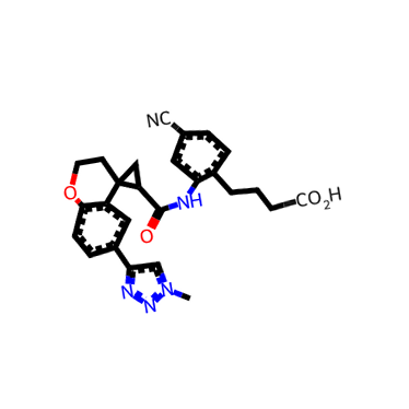 Cn1cc(-c2ccc3c(c2)C2(CCO3)CC2C(=O)Nc2cc(C#N)ccc2CCCC(=O)O)nn1